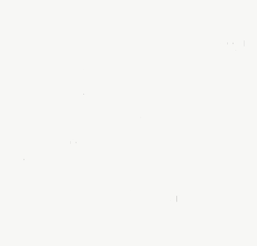 O=C(O)CCCCOc1cc(C(F)(F)F)ccc1-c1cc(=O)c2cccc(Cl)c2o1